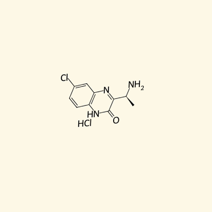 C[C@H](N)c1nc2cc(Cl)ccc2[nH]c1=O.Cl